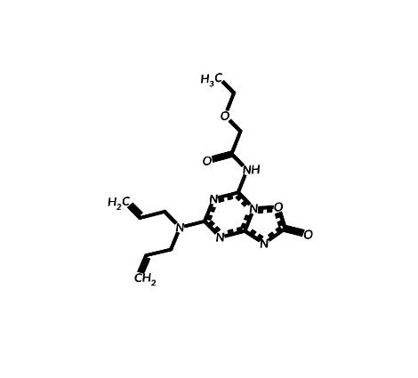 C=CCN(CC=C)c1nc(NC(=O)COCC)n2oc(=O)nc2n1